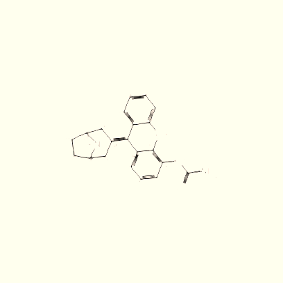 NC(=O)Oc1cccc2c1Oc1ccccc1C2=C1CC2CCC(C1)N2